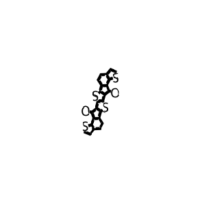 O=c1c2c(ccc3ccsc32)c2sc3c(sc4c5ccc6ccsc6c5c(=O)c43)c12